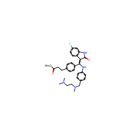 COC(=O)CCc1ccc(/C(Nc2ccc(CN(C)CCN(C)C)cc2)=C2/C(=O)Nc3cc(F)ccc32)cc1